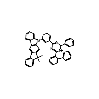 CN1C(c2ccccc2-c2ccccc2)=NC(C2=CCCC(n3c4ccccc4c4cc5c(cc43)C(C)(C)c3ccccc3-5)=C2)=NC1c1ccccc1